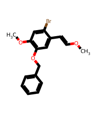 COC=Cc1cc(OCc2ccccc2)c(OC)cc1Br